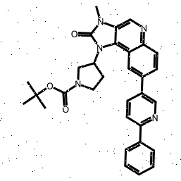 Cn1c(=O)n(C2CCN(C(=O)OC(C)(C)C)C2)c2c3cc(-c4ccc(-c5ccccc5)nc4)ccc3ncc21